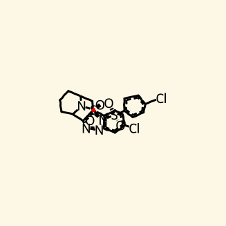 O=S(=O)(c1ccc(Cl)cc1)N1C2CCCC1c1nnn(S(=O)(=O)c3ccc(Cl)cc3)c1C2